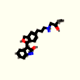 COC(=O)CNCCCc1ccc2c(c1)CO/C2=C1/C(=O)Nc2ccccc21